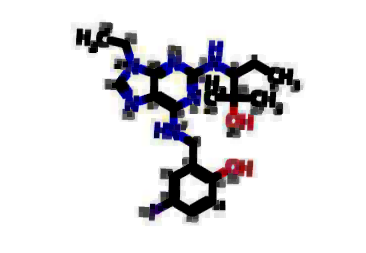 CCC(Nc1nc(NCc2cc(I)ccc2O)c2ncn(CC)c2n1)C(C)(C)O